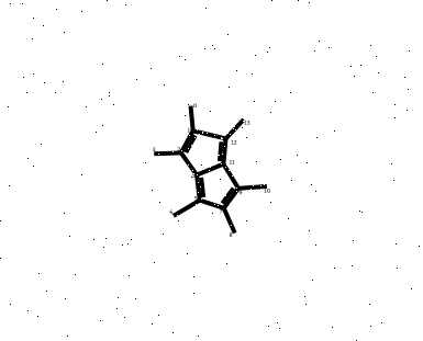 CC1=C(C)C2=C(C)C(C)=C(C)C2=C1C